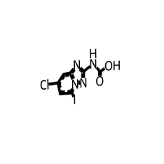 O=C(O)Nc1nc2cc(Cl)cc(I)n2n1